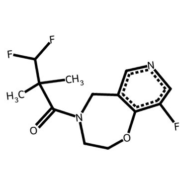 CC(C)(C(=O)N1CCOc2c(F)cncc2C1)C(F)F